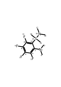 CN(C)c1c(F)c(F)c(F)c(F)c1S(C)(C)N(C)C